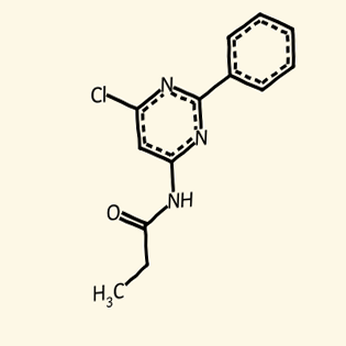 CCC(=O)Nc1cc(Cl)nc(-c2ccccc2)n1